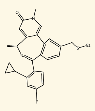 CCSCc1ccc2c(c1)-c1cn(C)c(=O)cc1[C@H](C)N=C2c1ccc(F)cc1C1CC1